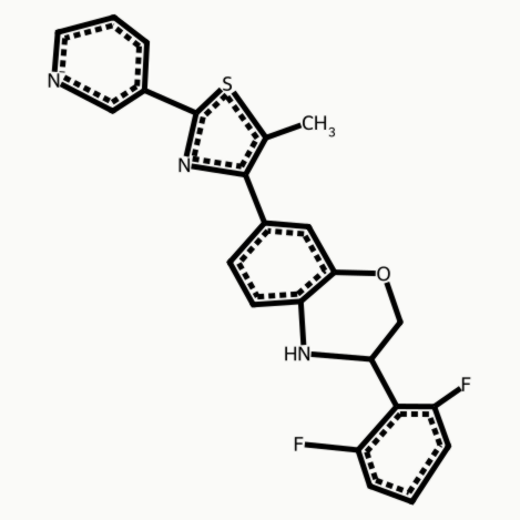 Cc1sc(-c2cccnc2)nc1-c1ccc2c(c1)OCC(c1c(F)cccc1F)N2